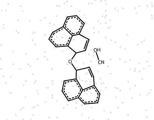 C1=CC(OC2C=Cc3cccc4cccc2c34)c2cccc3cccc1c23.N#CO